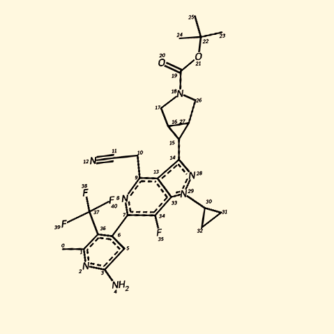 Cc1nc(N)cc(-c2nc(CC#N)c3c(C4C5CN(C(=O)OC(C)(C)C)CC54)nn(C4CC4)c3c2F)c1C(F)(F)F